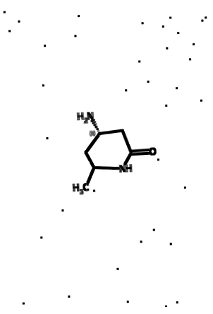 CC1C[C@H](N)CC(=O)N1